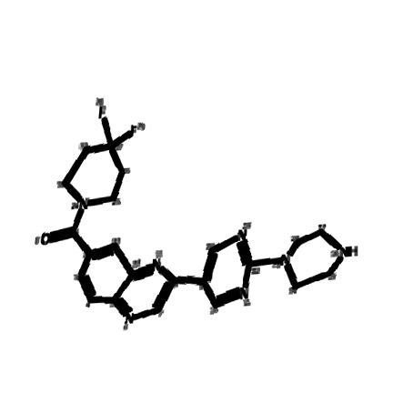 O=C(c1ccc2ncc(-c3cnc(N4CCNCC4)nc3)nc2c1)N1CCC(F)(F)CC1